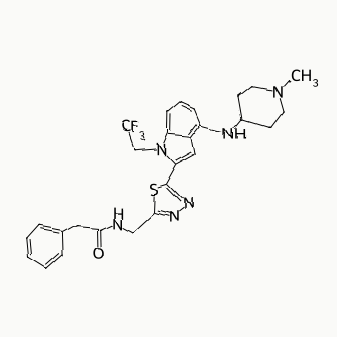 CN1CCC(Nc2cccc3c2cc(-c2nnc(CNC(=O)Cc4ccccc4)s2)n3CC(F)(F)F)CC1